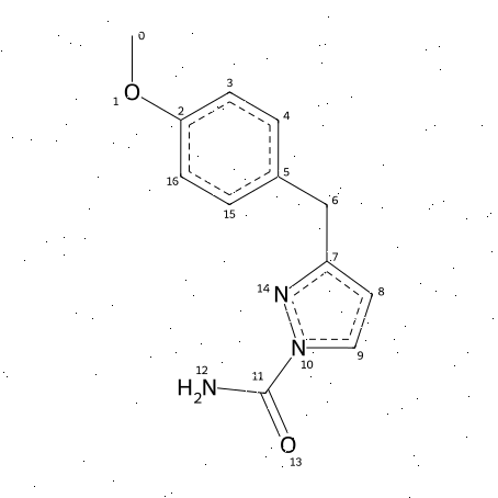 COc1ccc(Cc2ccn(C(N)=O)n2)cc1